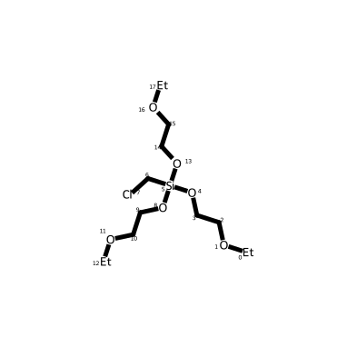 CCOCCO[Si](CCl)(OCCOCC)OCCOCC